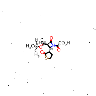 C[C@@H](O[Si](C)(C)C)[C@H]1C(=O)N(C(=O)C(=O)O)[C@@H]1C1CCSC1=O